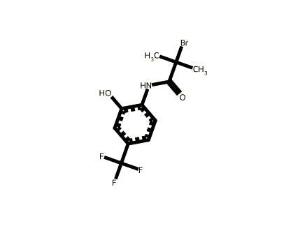 CC(C)(Br)C(=O)Nc1ccc(C(F)(F)F)cc1O